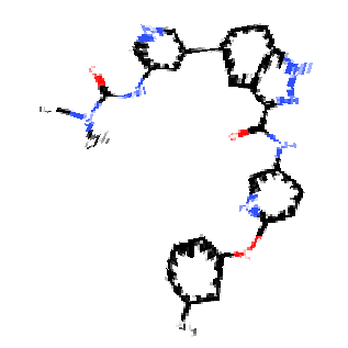 Cc1cccc(Oc2ccc(NC(=O)c3n[nH]c4ccc(-c5cncc(NC(=O)N(C)C)c5)cc34)cn2)c1